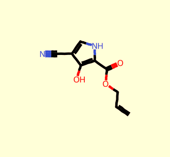 C=CCOC(=O)c1[nH]cc(C#N)c1O